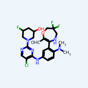 CN(C)c1ccc(Nc2nc(N3CC(O)CC(F)C3)ncc2Cl)cc1C1=C(C=O)OCC(F)(F)CN1